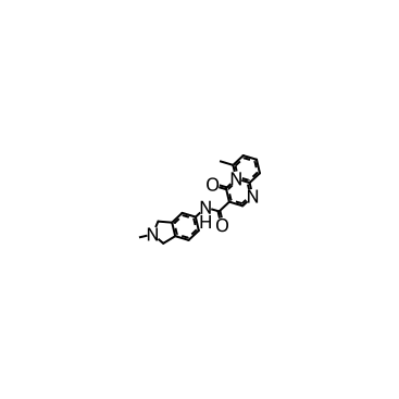 Cc1cccc2ncc(C(=O)Nc3ccc4c(c3)CN(C)C4)c(=O)n12